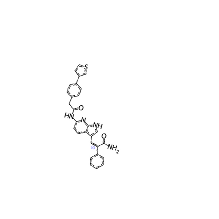 NC(=O)/C(=C\c1c[nH]c2nc(NC(=O)Cc3ccc(-c4ccsc4)cc3)ccc12)c1ccccc1